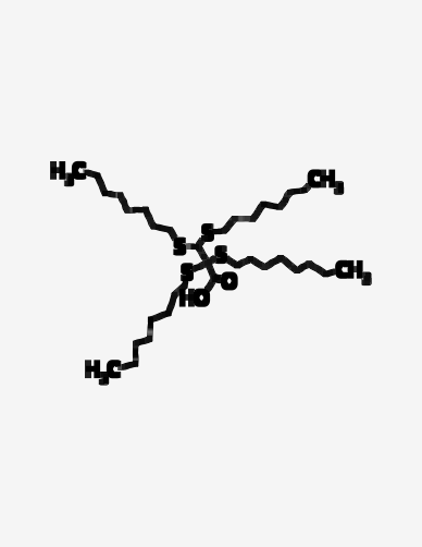 CCCCCCCCSC(SCCCCCCCC)C(SCCCCCCCC)(SCCCCCCCC)C(=O)O